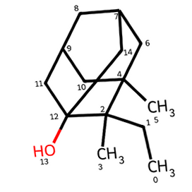 CCC1(C)C2(C)CC3CC(C2)CC1(O)C3